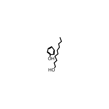 CCCCCCCCCCO.Oc1ccccc1